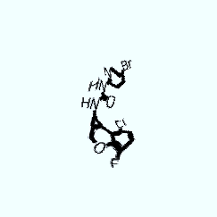 O=C(Nc1ccc(Br)cn1)NC1C2COc3c(F)ccc(Cl)c3C21